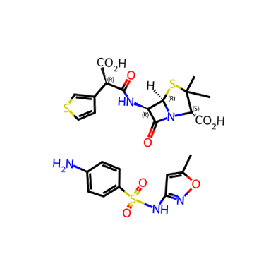 CC1(C)S[C@@H]2[C@H](NC(=O)[C@H](C(=O)O)c3ccsc3)C(=O)N2[C@H]1C(=O)O.Cc1cc(NS(=O)(=O)c2ccc(N)cc2)no1